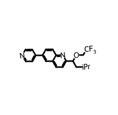 CC(C)CC(OCC(F)(F)F)c1ccc2cc(-c3ccncc3)ccc2n1